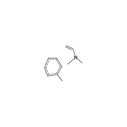 C=CN(C)C.Cc1ccccc1